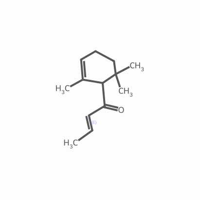 C/C=C/C(=O)C1C(C)=CCCC1(C)C